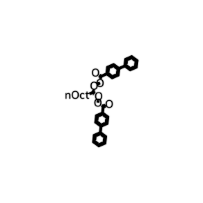 [CH2]CCCCCCC[C](OOC(=O)c1ccc(-c2ccccc2)cc1)OOC(=O)c1ccc(-c2ccccc2)cc1